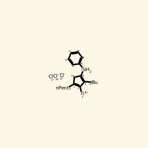 CCCCCC1=[C]([Ti+3])C(C(C)CC)=C([SiH2]c2ccccc2)C1.[Cl-].[Cl-].[Cl-]